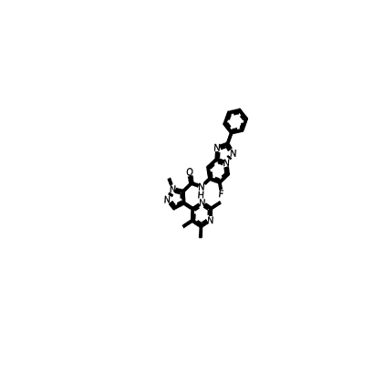 Cc1nc(C)c(C)c(-c2cnn(C)c2C(=O)Nc2cc3nc(-c4ccccc4)nn3cc2F)n1